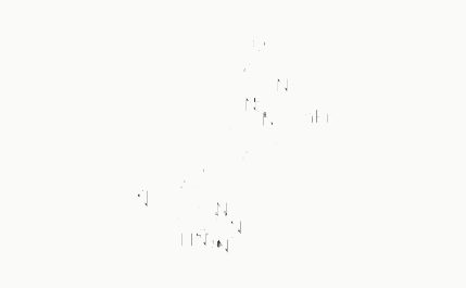 CCCc1nc(C(=O)c2ccccc2)nn1Cc1ccc(-c2ccncc2-c2nnn[nH]2)cc1